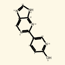 Oc1ccc(-c2ncc3nc[nH]c3n2)cn1